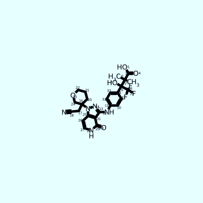 CC(C)(C(=O)O)C(O)(c1ccc(Nc2nn(C3(CC#N)CCCOC3)c3cc[nH]c(=O)c23)cc1)C(F)(F)F